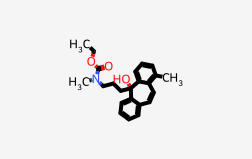 CCOC(=O)N(C)CCCC1(O)c2ccccc2C=Cc2c(C)cccc21